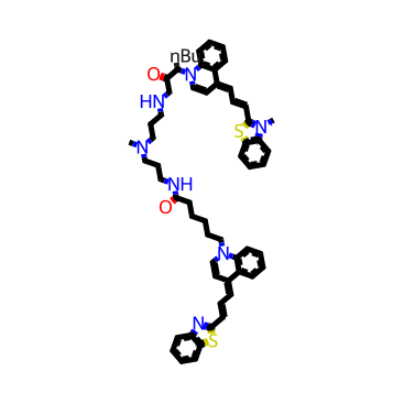 CCCCC(C(=O)CNCCCN(C)CCCNC(=O)CCCCCN1C=CC(=CC=Cc2nc3ccccc3s2)c2ccccc21)N1C=CC(=CC=Cc2sc3ccccc3[n+]2C)c2ccccc21